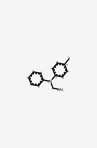 CC(=O)CN(c1cc[c]cc1)c1ccc(C)cc1